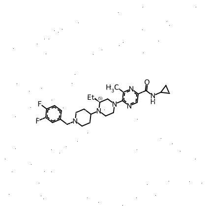 CC[C@H]1CN(c2ncc(C(=O)NC3CC3)nc2C)CCN1C1CCN(Cc2ccc(F)c(F)c2)CC1